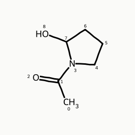 CC(=O)N1CCCC1O